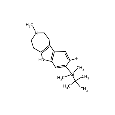 CN1CCc2[nH]c3cc([Si](C)(C)C(C)(C)C)c(F)cc3c2CC1